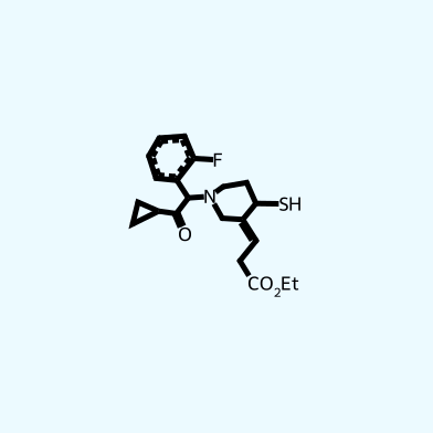 CCOC(=O)C/C=C1\CN(C(C(=O)C2CC2)c2ccccc2F)CCC1S